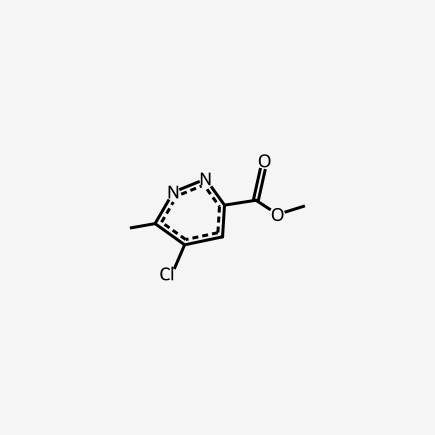 COC(=O)c1cc(Cl)c(C)nn1